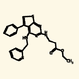 CCOC(=O)CCNc1nc(NCc2ccccn2)c2c(-c3ccccc3)csc2n1